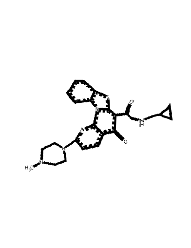 CN1CCN(c2ccc3c(=O)c(C(=O)NC4CC4)c4sc5ccccc5n4c3n2)CC1